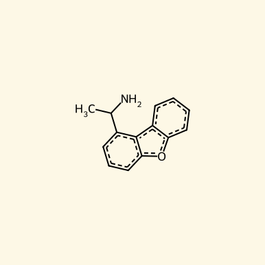 CC(N)c1cccc2oc3ccccc3c12